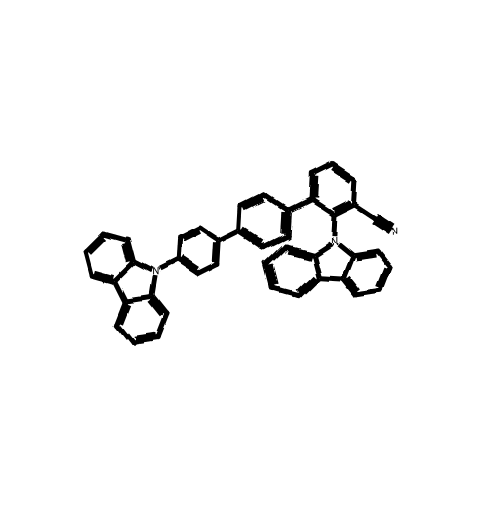 N#Cc1cccc(-c2ccc(-c3ccc(-n4c5ccccc5c5ccccc54)cc3)cc2)c1-n1c2ccccc2c2ccccc21